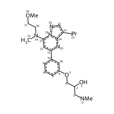 CNCC(O)COc1cccc(-c2cc(N(C)CCOC)n3ncc(C(C)C)c3n2)c1